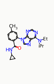 CCN(c1ncnc2c1ncn2-c1cc(C)ccc1C(=O)NC1CC1)C(C)C